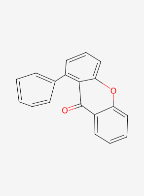 O=c1c2ccccc2oc2cccc(-c3ccccc3)c12